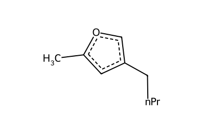 CCCCc1coc(C)c1